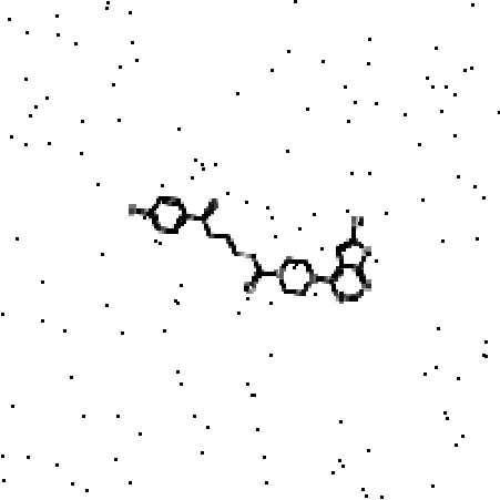 CCc1cc2c(N3CCN(C(=O)CCCCC(=O)c4ccc(F)cc4)CC3)ncnc2s1